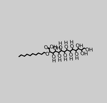 CCCCCCCCCCOC(C(=O)O)C(O)C(O)C(O)C(O)C(O)C(O)C(O)C(O)C(O)C(O)C(O)CO